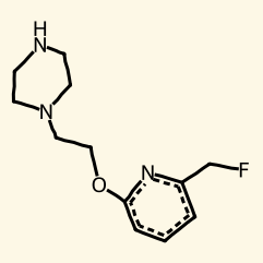 FCc1cccc(OCCN2CCNCC2)n1